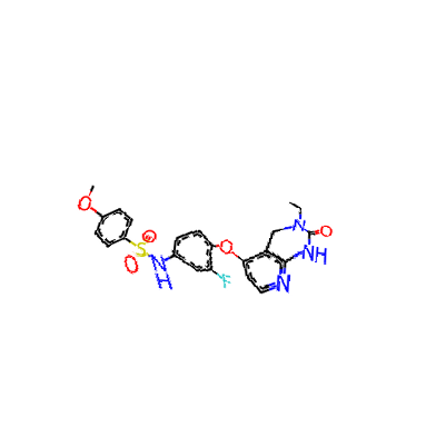 CCN1Cc2c(Oc3ccc(NS(=O)(=O)c4ccc(OC)cc4)cc3F)ccnc2NC1=O